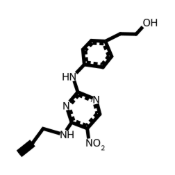 C#CCNc1nc(Nc2ccc(CCO)cc2)ncc1[N+](=O)[O-]